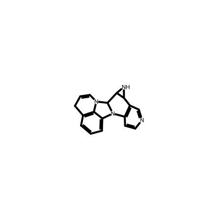 C1=CN2c3c(cccc3N3c4ccncc4C4NC4C23)C1